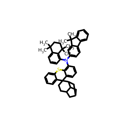 CC1(C)CCC(C)(C)c2c(N(c3ccc4c(c3)C(C)(C)c3ccccc3-4)c3cccc4c3Sc3ccccc3C43CCC4CC5CC4C3C5)cccc21